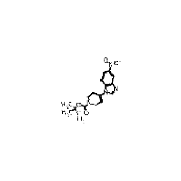 CC(C)(C)OC(=O)N1CCC(n2cnc3cc([N+](=O)[O-])ccc32)CC1